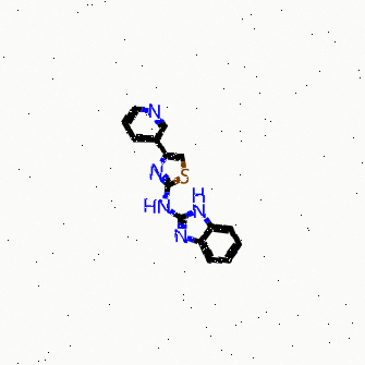 c1cncc(-c2csc(Nc3nc4ccccc4[nH]3)n2)c1